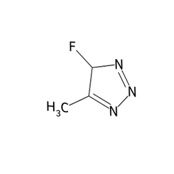 CC1=NN=NC1F